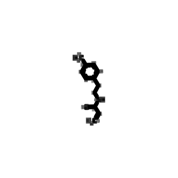 C=CC(=O)NCCc1ccc(C)cc1